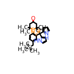 CC1(C)CC(=O)CC(C)(C)P1c1ccc(C[Si](C)(C)C)cc1C(P)(c1ccc[nH]1)c1ccc[nH]1